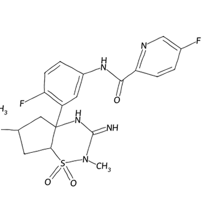 COC1CC2C(c3cc(NC(=O)c4ccc(F)cn4)ccc3F)(C1)NC(=N)N(C)S2(=O)=O